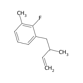 C=C[C](C)Cc1cccc(C)c1F